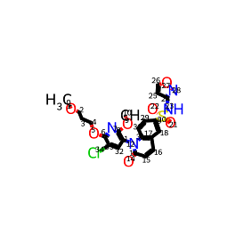 COCCCOc1nc(OC)c(-n2c(=O)ccc3cc(S(=O)(=O)Nc4ccon4)ccc32)cc1Cl